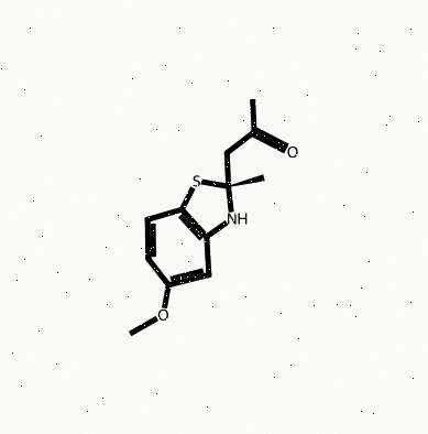 COc1ccc2c(c1)N[C@@](C)(CC(C)=O)S2